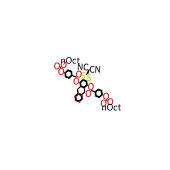 CCCCCCCCOC(=O)Oc1ccc(C(=O)Oc2c3c(c(OC(=O)c4ccc(OC(=O)OCCCCCCCC)cc4)c4c2C2c5ccccc5C4c4ccccc42)SC(=C(C#N)C#N)S3)cc1